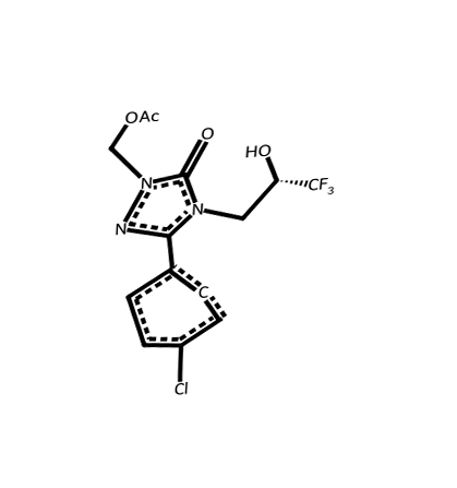 CC(=O)OCn1nc(-c2ccc(Cl)cc2)n(C[C@H](O)C(F)(F)F)c1=O